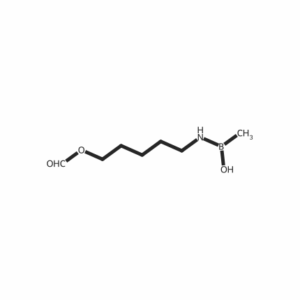 CB(O)NCCCCCOC=O